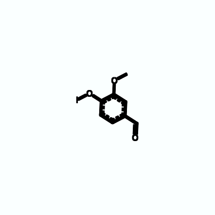 COc1cc(C=O)ccc1OI